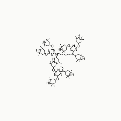 CC1(C)CC(Oc2nc(OC3CC(C)(C)NC(C)(C)C3)nc(N(CCCCCCN(c3nc(OC4CC(C)(C)NC(C)(C)C4)nc(OC4CC(C)(C)NC(C)(C)C4)n3)C3CC(C)(C)NC(C)(C)C3)CCCCCCN(c3nc(OC4CC(C)(C)NC(C)(C)C4)nc(OC4CC(C)(C)NC(C)(C)C4)n3)C3CC(C)(C)NC(C)(C)C3)n2)CC(C)(C)N1